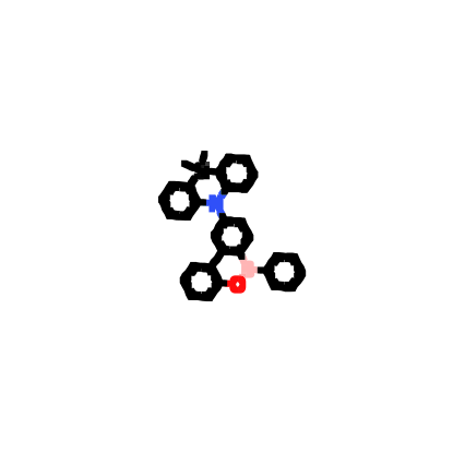 C[Si]1(C)c2ccccc2N(c2ccc3c(c2)-c2ccccc2OB3c2ccccc2)c2ccccc21